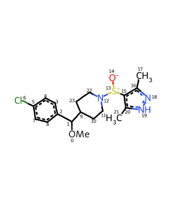 COC(c1ccc(Cl)cc1)C1CCN([S+]([O-])c2c(C)n[nH]c2C)CC1